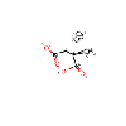 C=C(CC(=O)[O-])C(=O)[O-].[Cs+].[Cs+]